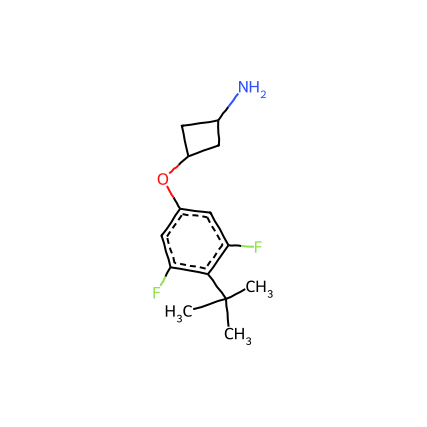 CC(C)(C)c1c(F)cc(OC2CC(N)C2)cc1F